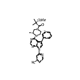 COC(C)(C)C(=O)N1C[C@H](C)N(c2ncnc3c2c(-c2ccccc2)cn3-c2cc(C#N)ccn2)C[C@H]1C